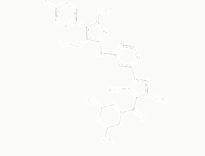 CCc1c(Nc2cc(-n3nc(C)c(C(=O)N4CC(C)OC(C)C4)c3C)ncn2)nn(C)c1-c1ccc(F)cc1